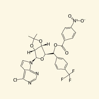 CC1(C)O[C@@H]2[C@H](O1)[C@@H](C(OC(=O)c1ccc([N+](=O)[O-])cc1)c1ccc(C(F)(F)F)cc1)O[C@H]2n1ccc2c(Cl)ncnc21